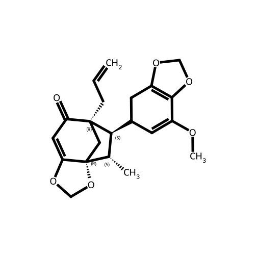 C=CC[C@]12C[C@@]3(OCOC3=CC1=O)[C@@H](C)[C@@H]2C1C=C(OC)C2=C(C1)OCO2